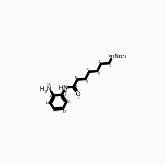 CCCCCCCCCCCCCCCC(=O)Nc1ccccc1N